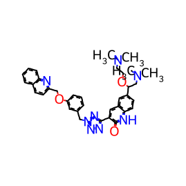 CN(C)CCOC(CN(C)C)c1ccc2[nH]c(=O)c(-c3nnn(Cc4cccc(OCc5ccc6ccccc6n5)c4)n3)cc2c1